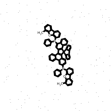 Cc1cccc2c1oc1c(N(c3ccccc3)c3ccc4c5c(c6ccccc6c4c3)-c3cc(N(c4ccccc4)c4cccc6c4oc4c(C)cccc46)c4ccccc4c3C53c4ccccc4-c4ccccc43)cccc12